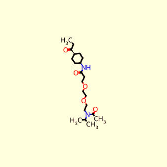 CCC(=O)[C@H]1CC[C@@H](NC(=O)CCOCCOCCN(C(C)=O)C(C)C)CC1